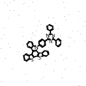 c1ccc(-c2nc(-c3ccccc3)nc(-c3ccc(-n4c5ccccc5c5c6c7ccccc7sc6c6sc7ccccc7c6c54)cc3)n2)cc1